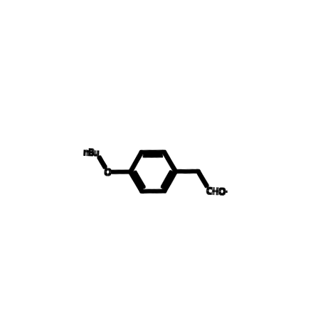 CCCCOc1ccc(C[C]=O)cc1